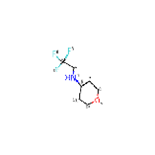 FC(F)(F)CNC1CCOCC1